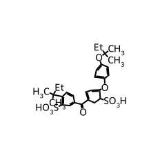 CCC(C)(C)Oc1ccc(OC2=CC=C(C(=O)c3ccc(C(C)(C)CC)c(S(=O)(=O)O)c3)CC2S(=O)(=O)O)cc1